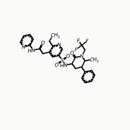 CCc1ncc(S(=O)(=O)NC2CC(c3ccccc3)C(C)N(CC(F)(F)F)C2=O)cc1CC(=O)Nc1ccccn1